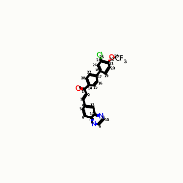 O=C(C=Cc1ccc2nccnc2c1)c1ccc(-c2ccc(OC(F)(F)F)c(Cl)c2)cc1